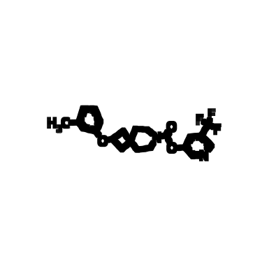 Cc1cccc(OC2CC3(CCN(C(=O)Oc4cncc(C(F)(F)F)c4)CC3)C2)c1